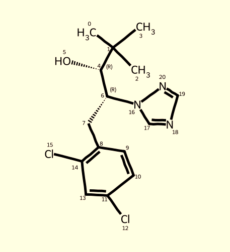 CC(C)(C)[C@@H](O)[C@@H](Cc1ccc(Cl)cc1Cl)n1cncn1